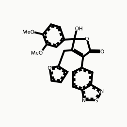 COc1ccc(C2(O)OC(=O)C(c3ccc4nsnc4c3)=C2Cc2ccco2)cc1OC